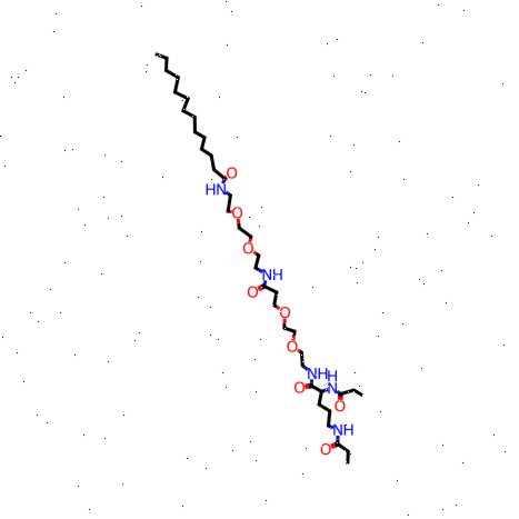 CCCCCCCCCCCCCC(=O)NCCOCCOCCNC(=O)CCOCCOCCNC(=O)C(CCCNC(=O)CC)NC(=O)CC